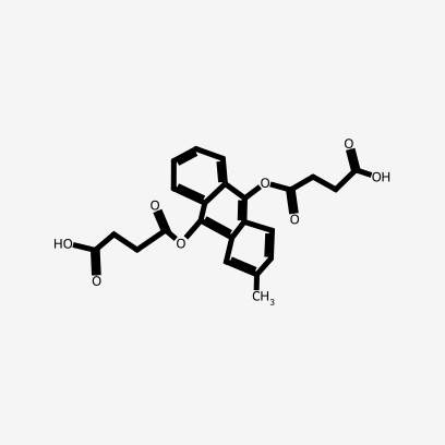 Cc1ccc2c(OC(=O)CCC(=O)O)c3ccccc3c(OC(=O)CCC(=O)O)c2c1